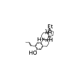 CC=Cc1cc2c(cc1O)CC[C@@H]1[C@@H]2CC[C@]2(C)[C@@H](CC)CC[C@@H]12